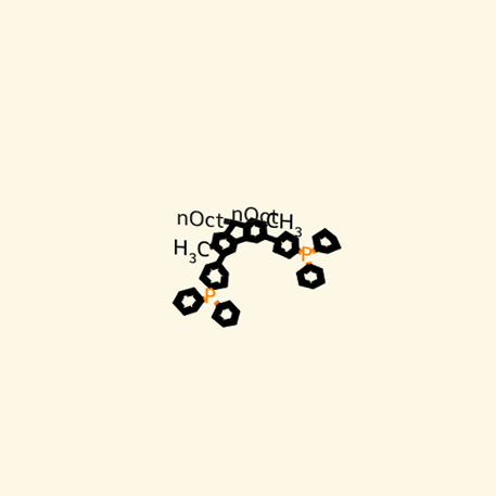 CCCCCCCCC1(CCCCCCCC)c2cc(C)c(-c3ccc(P(c4ccccc4)c4ccccc4)cc3)cc2-c2cc(-c3ccc(P(c4ccccc4)c4ccccc4)cc3)c(C)cc21